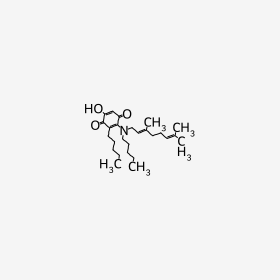 CCCCCC1=C(N(CC=C(C)CCC=C(C)C)CCCCC)C(=O)C=C(O)C1=O